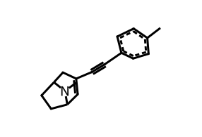 Cc1ccc(C#CC2=CC3CCC(C2)N3C)cc1